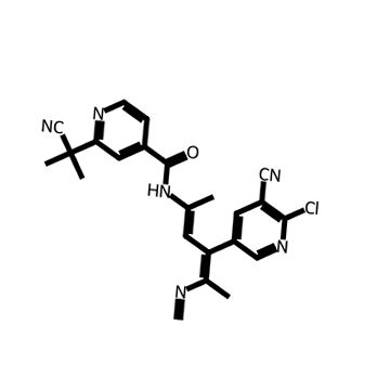 C=N/C(C)=C(\C=C(/C)NC(=O)c1ccnc(C(C)(C)C#N)c1)c1cnc(Cl)c(C#N)c1